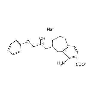 Nc1c(C(=O)[O-])ccc2c1CC(C[C@H](O)COc1ccccc1)CCC2.[Na+]